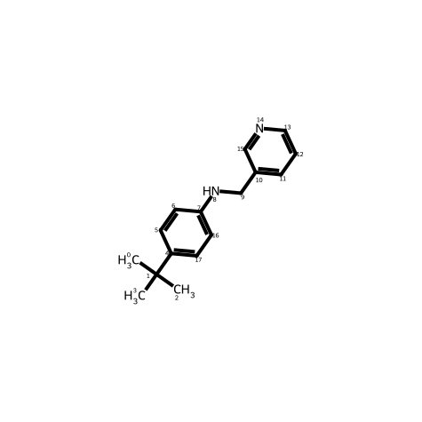 CC(C)(C)c1[c]cc(NCc2cccnc2)cc1